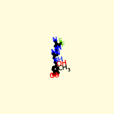 Cc1c(C(O)CNCc2cnc(-n3cc(C#N)c(C(F)F)n3)nc2)ccc2c1COC2=O